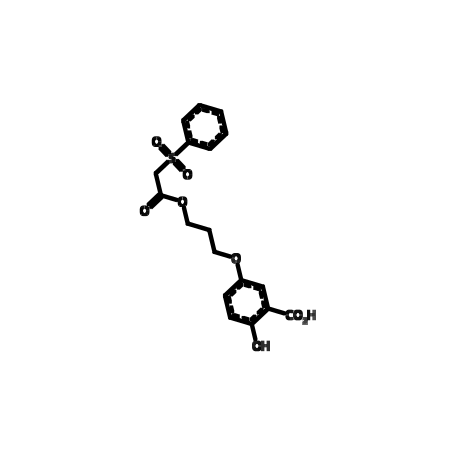 O=C(CS(=O)(=O)c1ccccc1)OCCCOc1ccc(O)c(C(=O)O)c1